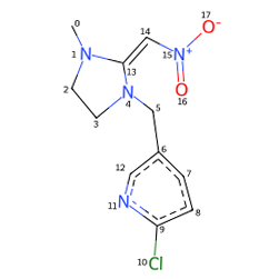 CN1CCN(Cc2ccc(Cl)nc2)/C1=C\[N+](=O)[O-]